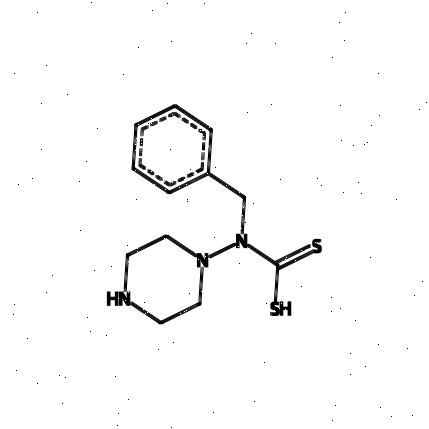 S=C(S)N(Cc1ccccc1)N1CCNCC1